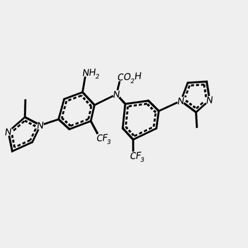 Cc1nccn1-c1cc(N(C(=O)O)c2c(N)cc(-n3ccnc3C)cc2C(F)(F)F)cc(C(F)(F)F)c1